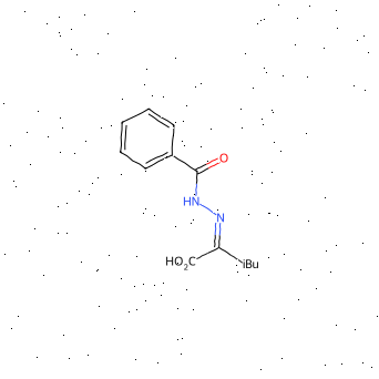 CCC(C)C(=NNC(=O)c1ccccc1)C(=O)O